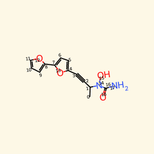 CC(C#Cc1ccc(-c2ccco2)o1)N(O)C(N)=O